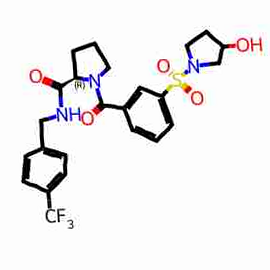 O=C(NCc1ccc(C(F)(F)F)cc1)[C@H]1CCCN1C(=O)c1cccc(S(=O)(=O)N2CCC(O)C2)c1